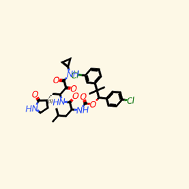 CC(C)CC(NC(=O)OC(c1ccc(Cl)cc1)C(C)(C)c1cccc(Cl)c1)C(=O)NC(C[C@@H]1CCNC1=O)C(=O)C(=O)NC1CC1